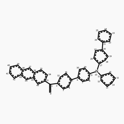 C=C(c1ccc(-c2ccc(N(c3ccccc3)c3ccc(-c4ccccc4)cc3)cc2)cc1)c1ccc2cc3ccccc3cc2c1